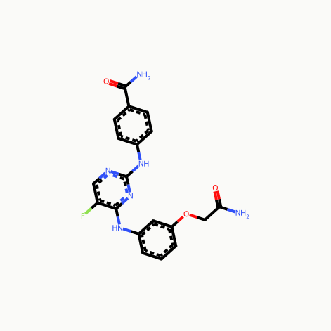 NC(=O)COc1cccc(Nc2nc(Nc3ccc(C(N)=O)cc3)ncc2F)c1